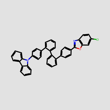 Clc1ccc2nc(-c3ccc(-c4ccccc4-c4ccccc4-c4ccc(-n5c6ccccc6c6ccccc65)cc4)cc3)oc2c1